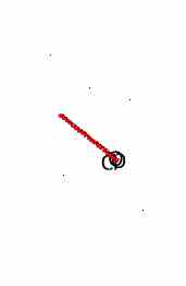 CCCCCCCCCCCCCCCCCCCCCCCCCCCCCCCCCCCOC(=O)Cl